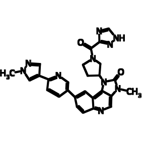 Cn1cc(-c2ccc(-c3ccc4ncc5c(c4c3)n(C3CCN(C(=O)c4nc[nH]n4)C3)c(=O)n5C)cn2)cn1